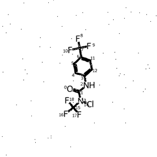 O=C(Nc1ccc(C(F)(F)F)cc1)N(Cl)C(F)(F)F